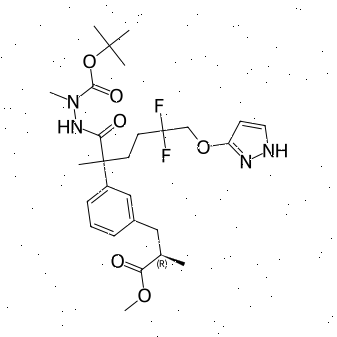 COC(=O)[C@H](C)Cc1cccc(C(C)(CCC(F)(F)COc2cc[nH]n2)C(=O)NN(C)C(=O)OC(C)(C)C)c1